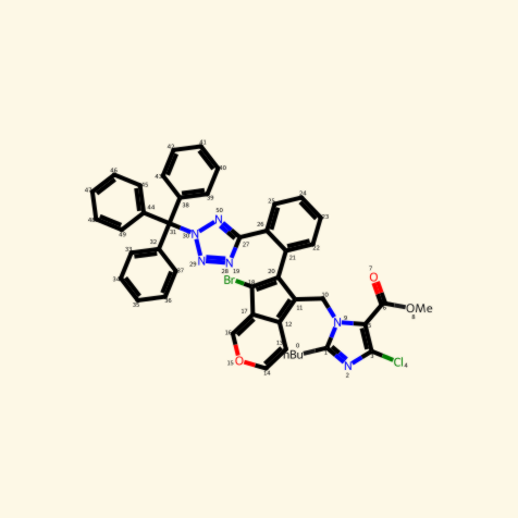 CCCCc1nc(Cl)c(C(=O)OC)n1Cc1c2ccocc-2c(Br)c1-c1ccccc1-c1nnn(C(c2ccccc2)(c2ccccc2)c2ccccc2)n1